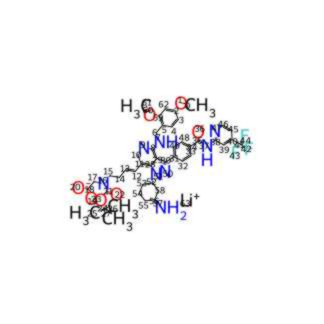 COc1ccc(CNc2ncc(/C=C/CCN(CC(=O)[O-])C(=O)OC(C)(C)C)c3c2c(-c2ccc(C(=O)Nc4cc(C(F)(F)F)ccn4)cc2)nn3[C@@H]2CCC[C@@H](N)C2)c(OC)c1.[Li+]